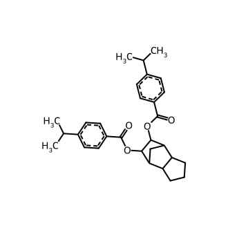 CC(C)c1ccc(C(=O)OC2C3CC(C4CCCC43)C2OC(=O)c2ccc(C(C)C)cc2)cc1